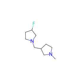 CN1CCC(CN2CCC(F)C2)C1